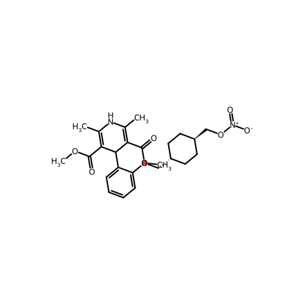 COC(=O)C1=C(C)NC(C)=C(C(=O)OC)C1c1ccccc1OC[C@H]1CC[C@H](CO[N+](=O)[O-])CC1